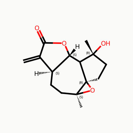 C=C1C(=O)O[C@@H]2C3[C@](C)(O)CC[C@@]34O[C@@]4(C)CC[C@@H]12